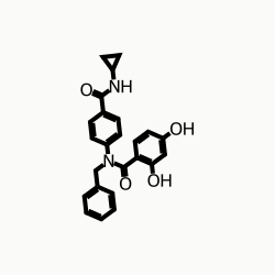 O=C(NC1CC1)c1ccc(N(Cc2ccccc2)C(=O)c2ccc(O)cc2O)cc1